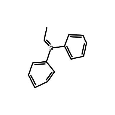 CC=[Si](c1ccccc1)c1ccccc1